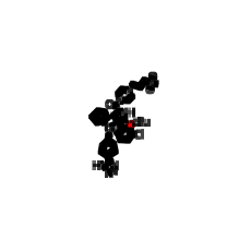 CC(C)(C)C[C@@H]1N[C@@H](C(=O)N2CCN(CCCS(C)(=O)=O)CC2)[C@H](c2ccccc2Cl)[C@]12CN(Cc1ccc(-c3nnn[nH]3)cc1)c1ccc(Cl)cc12